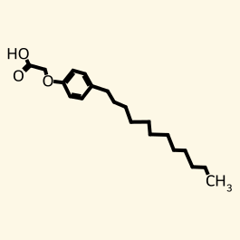 CCCCCCCCCCCCc1ccc(OCC(=O)O)cc1